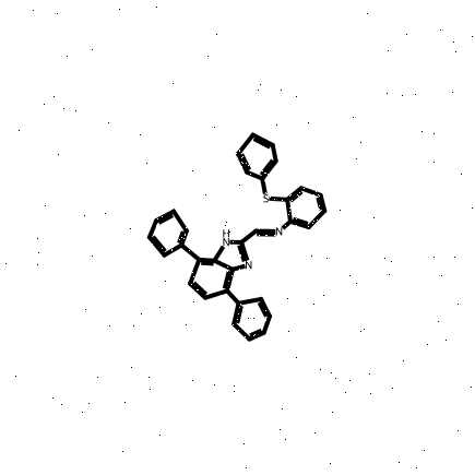 C(=N\c1ccccc1Sc1ccccc1)/c1nc2c(-c3ccccc3)ccc(-c3ccccc3)c2[nH]1